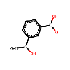 COB(O)c1cccc(B(O)O)c1